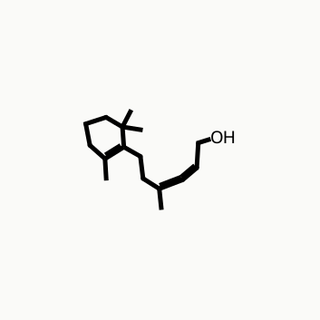 CC(=C=CCO)CCC1=C(C)CCCC1(C)C